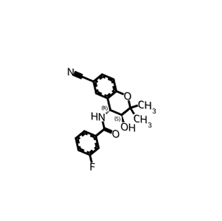 CC1(C)Oc2ccc(C#N)cc2[C@@H](NC(=O)c2cccc(F)c2)[C@@H]1O